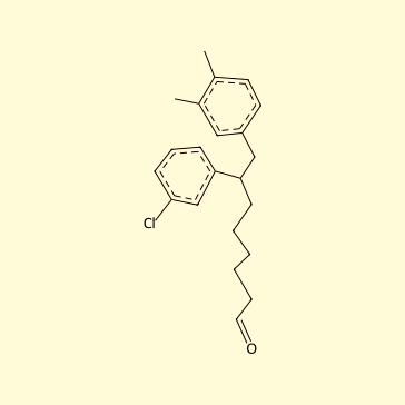 Cc1ccc(CC(CCCCCC=O)c2cccc(Cl)c2)cc1C